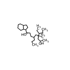 CCCC(CC[C@H](O)C1CCC2CCCCC21)C[C@@](C)(CC(C)O)C(CC)CC